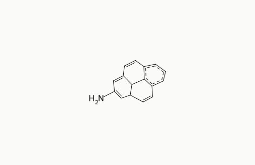 NC1=CC2C=Cc3cccc4c3C2C(=C1)C=C4